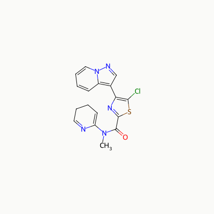 CN(C(=O)c1nc(-c2cnn3ccccc23)c(Cl)s1)C1=CCCC=N1